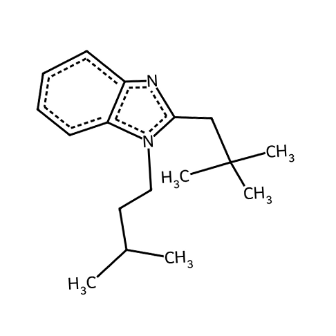 CC(C)CCn1c(CC(C)(C)C)nc2ccccc21